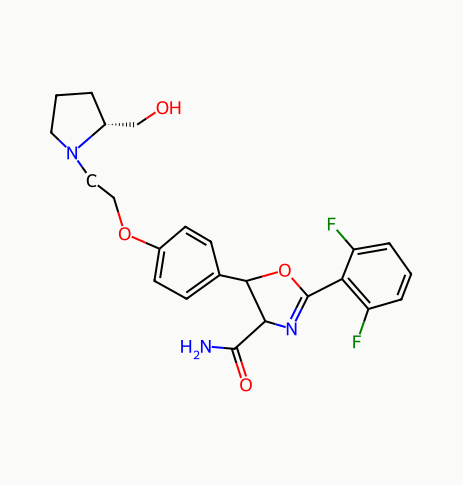 NC(=O)C1N=C(c2c(F)cccc2F)OC1c1ccc(OCCN2CCC[C@@H]2CO)cc1